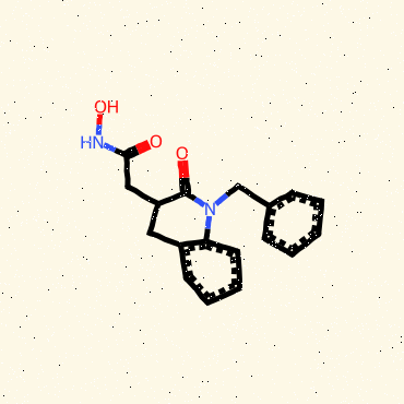 O=C(CC1Cc2ccccc2N(Cc2ccccc2)C1=O)NO